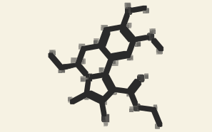 CCOC(=O)c1c(Cl)c(C)n2c1-c1cc(OC)c(OC)cc1C[C@@H]2CC